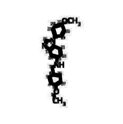 CCOc1ccc(CNc2ccc3c(c2)ncn3-c2ccc(OC)cc2)cc1